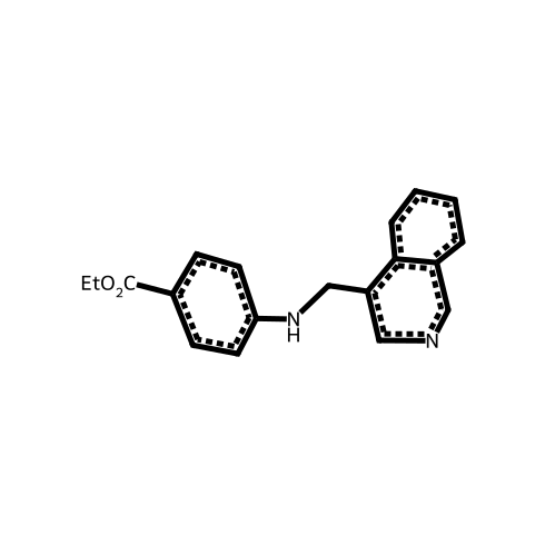 CCOC(=O)c1ccc(NCc2cncc3ccccc23)cc1